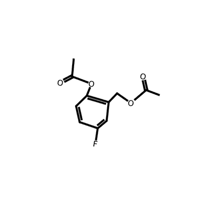 CC(=O)OCc1cc(F)ccc1OC(C)=O